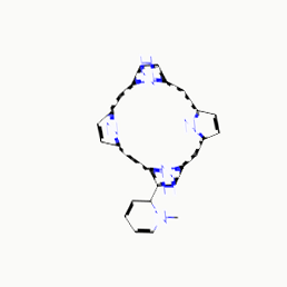 CN1C=CC=CC1c1cc2cc3nc(cc4ccc(cc5nc(cc1[nH]2)C=C5)[nH]4)C=C3